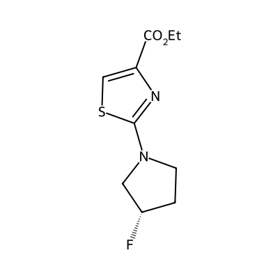 CCOC(=O)c1csc(N2CC[C@H](F)C2)n1